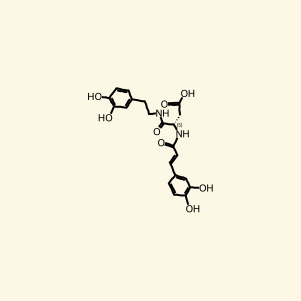 O=C(O)C[C@H](NC(=O)C=Cc1ccc(O)c(O)c1)C(=O)NCCc1ccc(O)c(O)c1